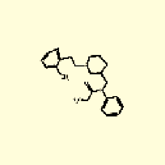 CCC(=O)N(CC1CCCN(CCc2ccccc2C)C1)c1ccccc1